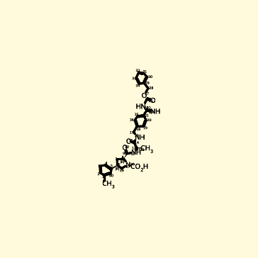 Cc1cccc([C@H]2C[C@H](C(=O)N[C@@H](C)C(=O)NCc3ccc(C(=N)NC(=O)OCc4ccccc4)cc3)N(C(=O)O)C2)c1